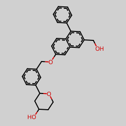 OCc1cc(-c2ccccc2)c2ccc(OCc3cccc(C4CC(O)CCO4)c3)cc2c1